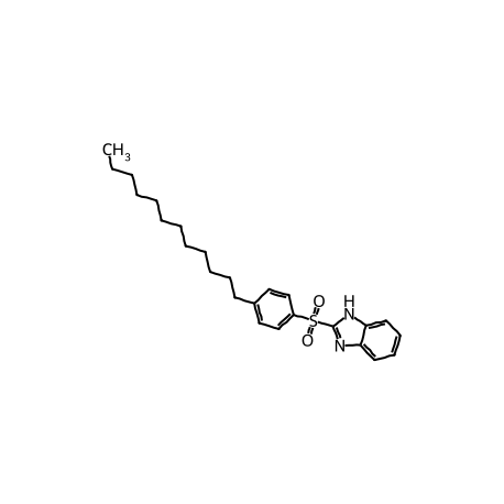 CCCCCCCCCCCCc1ccc(S(=O)(=O)c2nc3ccccc3[nH]2)cc1